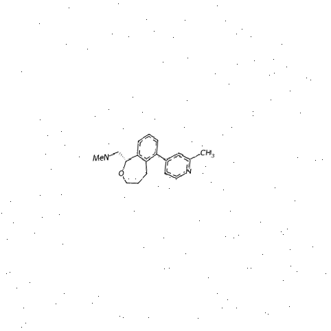 CNC[C@H]1OCCCc2c(-c3ccnc(C)c3)cccc21